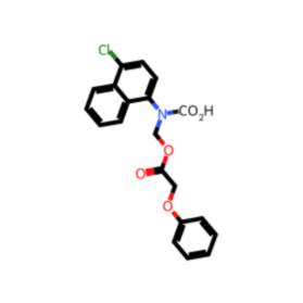 O=C(COc1ccccc1)OCN(C(=O)O)c1ccc(Cl)c2ccccc12